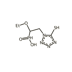 CCOC(Cn1nnnc1S)[PH](=O)O